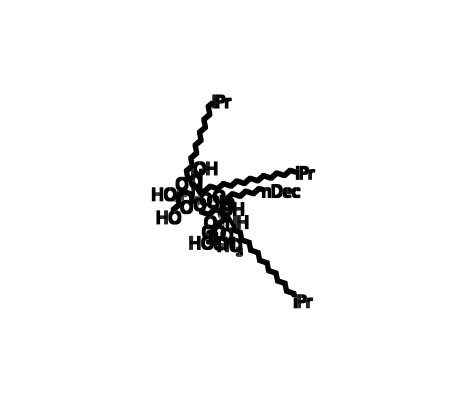 CCCCCCCCCCCCCCCC(=O)OC(CCCCCCCCCCCC(C)C)CC(=O)NC1[C@H](OCC2O[C@H](OP(C)(=O)O)C(NC(=O)CC(O)CCCCCCCCCCCC(C)C)[C@@H](O)[C@@H]2O)OC(CO)[C@@H](O)[C@@H]1OC(=O)CC(O)CCCCCCCCCC(C)C